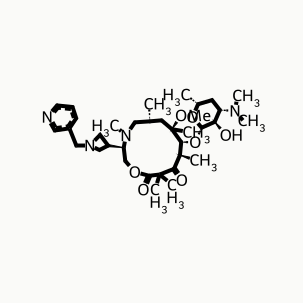 CO[C@]1(C)C[C@@H](C)CN(C)[C@H](C2CN(Cc3cccnc3)C2)COC(=O)C(C)(C)C(=O)[C@H](C)[C@H]1O[C@@H]1O[C@H](C)C[C@H](N(C)C)[C@H]1O